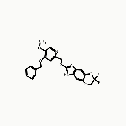 COc1cnc(CSc2nc3cc4c(cc3[nH]2)OCC(F)(F)O4)cc1OCc1ccccc1